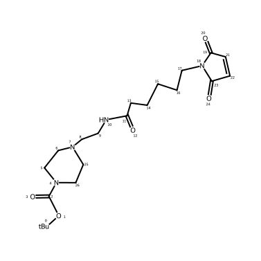 CC(C)(C)OC(=O)N1CCN(CCNC(=O)CCCCCN2C(=O)C=CC2=O)CC1